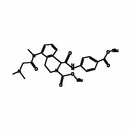 CN(C)CC(=O)N(C)c1cccc2c1CCN(C(=O)OC(C)(C)C)C2C(=O)Nc1ccc(C(=O)OC(C)(C)C)cc1